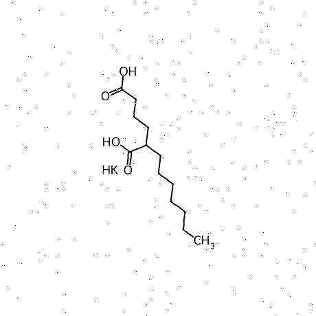 CCCCCCCC(CCCC(=O)O)C(=O)O.[KH]